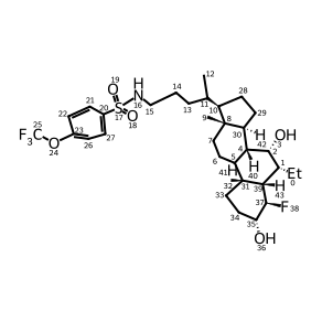 CC[C@H]1[C@@H](O)[C@@H]2[C@H](CC[C@]3(C)[C@@H](C(C)CCCNS(=O)(=O)c4ccc(OC(F)(F)F)cc4)CC[C@@H]23)[C@@]2(C)CC[C@@H](O)[C@H](F)[C@@H]12